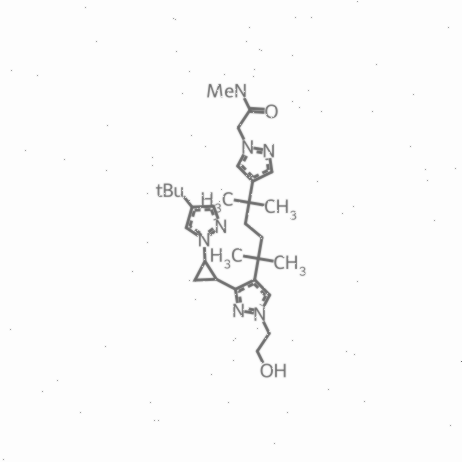 CNC(=O)Cn1cc(C(C)(C)CCC(C)(C)c2cn(CCO)nc2C2CC2n2cc(C(C)(C)C)cn2)cn1